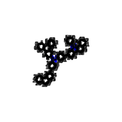 c1ccc(-c2ccc(N(c3ccc(-c4ccc5ccc6ccccc6c5c4)cc3)c3ccc(-c4ccc5c6ccc7ccccc7c6n(-c6ccccc6)c5c4)cc3)cc2-c2ccccc2)cc1